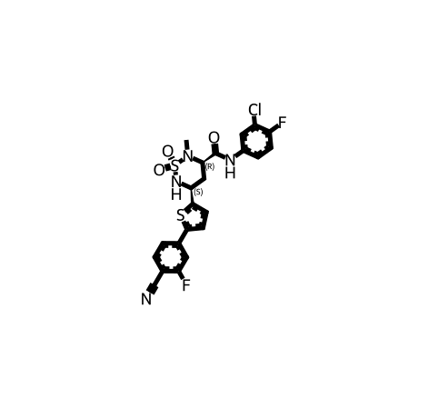 CN1[C@@H](C(=O)Nc2ccc(F)c(Cl)c2)C[C@@H](c2ccc(-c3ccc(C#N)c(F)c3)s2)NS1(=O)=O